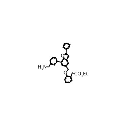 CCOC(=O)Cc1ccccc1OCc1cc(-c2cccc(CN)c2)c2oc(-c3ccccc3)cc2c1